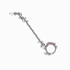 CO[C@H]1C[C@@H]2CC[C@@H](C)[C@@](O)(O2)C(=O)C(=O)N2CCCC[C@H]2C(=O)O[C@H]([C@H](N)C[C@@H]2CC[C@@H](OC(=O)NCCOCCOCCOCCOCCOCCOCCOCCOCCC(=O)NCC[S+]([O-])c3ccc(C(=O)N4CCOc5ccc(-c6ccc(N)nc6)cc5C4)c(C)c3F)[C@H](OC)C2)C[C@@H](OC)[C@H](C)/C=C(\C)[C@@H](O)[C@@H](O)C(=O)[C@H](C)C[C@H](C)/C=C/C=C/C=C/1C